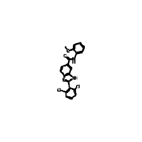 COc1ccccc1NC(=O)c1ccc2nc(-c3c(Cl)cccc3Cl)[nH]c2c1